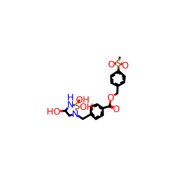 CS(=O)(=O)c1ccc(COC(=O)c2ccc(CN3CC(O)NS3(O)O)cc2)cc1